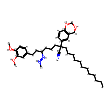 CCCCCCCCCCCCC(C#N)(CCCC(CCc1ccc(OC)c(OC)c1)N=NC)c1ccc2c(c1)COCO2